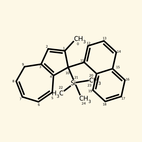 CC1=CC2=C(C=CC=CC2)C1(c1cccc2ccccc12)[Si](C)(C)C